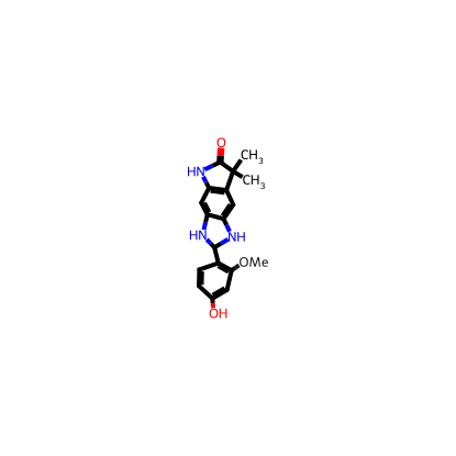 COc1cc(O)ccc1C1Nc2cc3c(cc2N1)C(C)(C)C(=O)N3